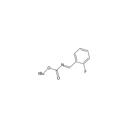 CC(C)(C)OC(=O)/N=C/c1ccccc1F